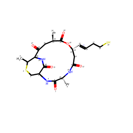 CC1SCC2NC(=O)[C@@H](C(C)C)NC(=O)C[C@@H](/C=C/CCS)OC(=O)[C@H](C(C)C)CC(=O)C1NC2=O